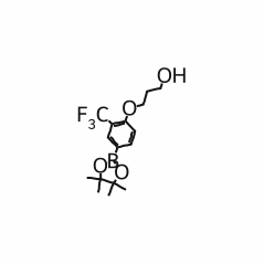 CC1(C)OB(c2ccc(OCCCO)c(C(F)(F)F)c2)OC1(C)C